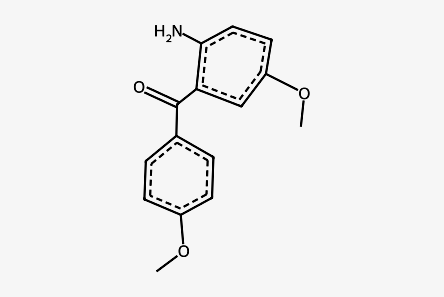 COc1ccc(C(=O)c2cc(OC)ccc2N)cc1